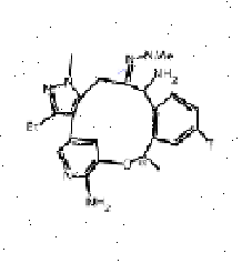 CCc1nn(C)c2c1-c1cnc(N)c(c1)O[C@H](C)c1cc(F)ccc1C(N)/C(=N\NC)C2